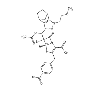 COCCn1nc(C(OC(C)=O)C2(Br)C(=O)N3C(C(=O)O)=C(Cc4ccc([N+](=O)[O-])cc4)S[C@@H]32)c2c1C1CCC2C1